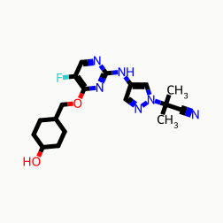 CC(C)(C#N)n1cc(Nc2ncc(F)c(OCC3CCC(O)CC3)n2)cn1